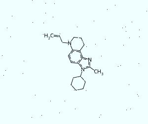 C=CCN1CCCc2c1ccc1c2nc(C)n1C1CCCCC1